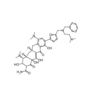 CN(C)CCN(Cc1ccccc1)Cc1ccc(-c2cc(N(C)C)c3c(c2O)C(=O)C2=C(O)[C@]4(O)C(=O)C(C(N)=O)C(O)[C@@H](N(C)C)[C@@H]4C[C@@H]2C3)o1